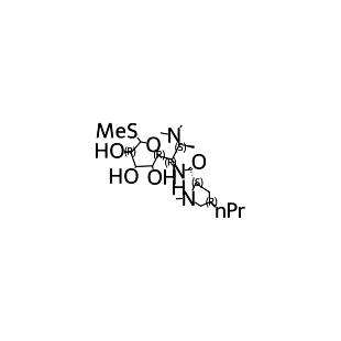 CCC[C@@H]1C[C@@H](C(=O)N[C@@H]([C@H]2OC(SC)[C@H](O)C(O)C2O)[C@H](C)N(C)C)N(C)C1